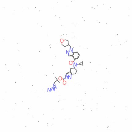 CC(C)(CN=[N+]=[N-])OC(=O)n1cc2c(n1)CCC(N(C(=O)c1cccc3c1cnn3CC1CCOCC1)C1CC1)C2